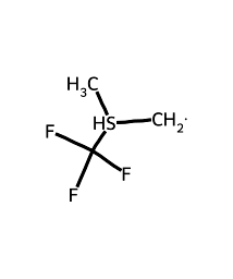 [CH2][SH](C)C(F)(F)F